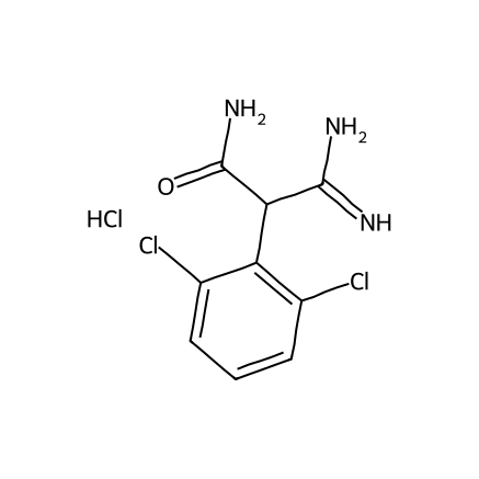 Cl.N=C(N)C(C(N)=O)c1c(Cl)cccc1Cl